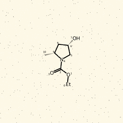 CCOC(=O)N1C[C@@H](O)C[C@H]1C